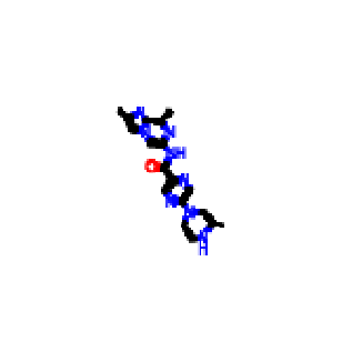 Cc1cn2cc(NC(=O)c3cnc(N4CCN[C@H](C)C4)cn3)nc(C)c2n1